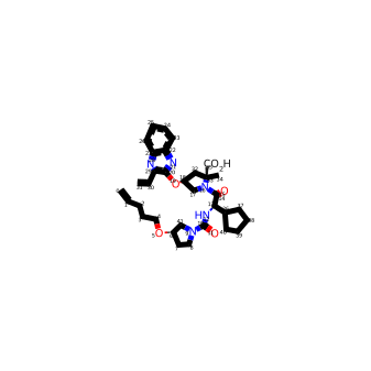 C=CCCCO[C@H]1CCN(C(=O)N[C@H](C(=O)N2C[C@H](Oc3nc4ccccc4nc3C=C)C[C@@]2(C)C(=O)O)C2CCCC2)C1